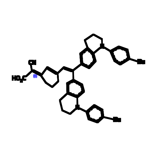 CCC(C)c1ccc(N2CCCc3cc(C(=CC4=C/C(=C(\C#N)C(=O)O)CCC4)c4ccc5c(c4)CCCN5c4ccc(C(C)CC)cc4)ccc32)cc1